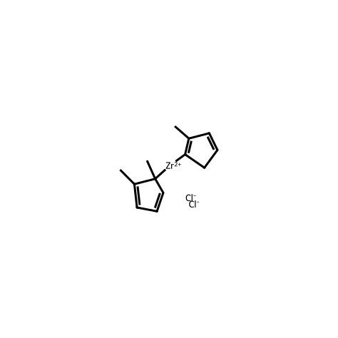 CC1=CC=C[C]1(C)[Zr+2][C]1=C(C)C=CC1.[Cl-].[Cl-]